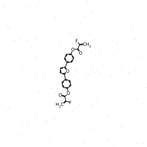 C=C(F)C(=O)Oc1ccc(-c2ccc(-c3ccc(OC(=O)C(=C)F)cc3)o2)cc1